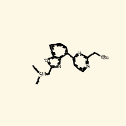 C[SH](C)Cc1nc2c(-c3ccnc(CC(C)(C)C)n3)cccc2o1